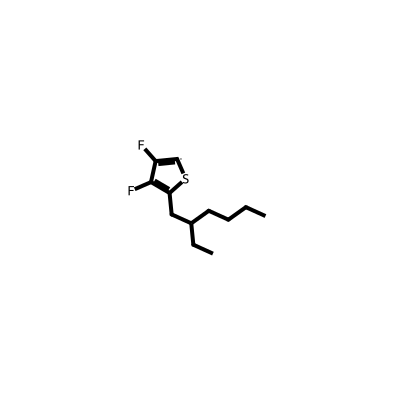 CCCCC(CC)Cc1s[c]c(F)c1F